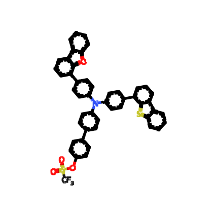 O=S(=O)(Oc1ccc(-c2ccc(N(c3ccc(-c4cccc5c4oc4ccccc45)cc3)c3ccc(-c4cccc5c4sc4ccccc45)cc3)cc2)cc1)C(F)(F)F